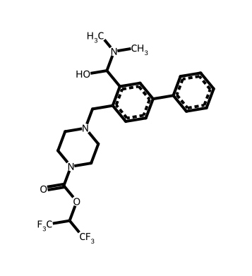 CN(C)C(O)c1cc(-c2ccccc2)ccc1CN1CCN(C(=O)OC(C(F)(F)F)C(F)(F)F)CC1